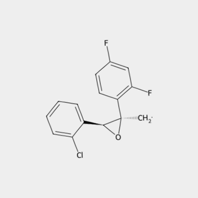 [CH2][C@]1(c2ccc(F)cc2F)O[C@H]1c1ccccc1Cl